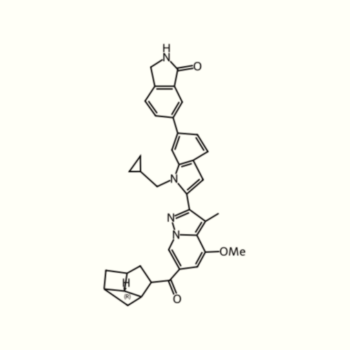 COc1cc(C(=O)C2CC3CC4CC2[C@@H]34)cn2nc(-c3cc4ccc(-c5ccc6c(c5)C(=O)NC6)cc4n3CC3CC3)c(C)c12